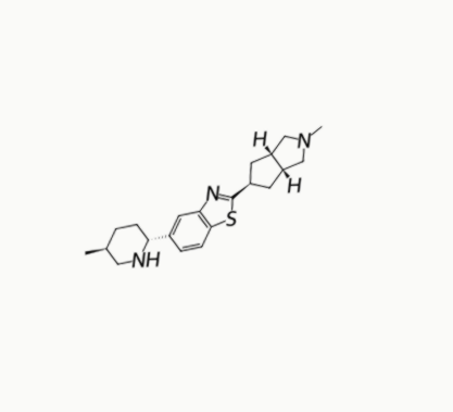 C[C@H]1CC[C@H](c2ccc3sc([C@H]4C[C@@H]5CN(C)C[C@@H]5C4)nc3c2)NC1